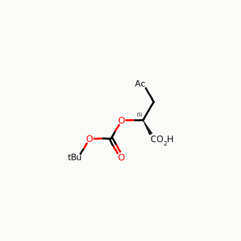 CC(=O)C[C@H](OC(=O)OC(C)(C)C)C(=O)O